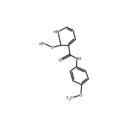 CCCSC1NC=CC=C1C(=O)Nc1ccc(OC(F)(F)F)cc1